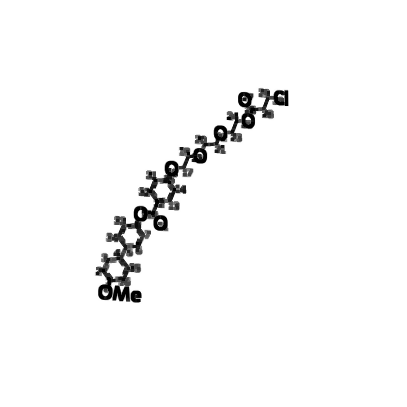 COc1ccc(-c2ccc(OC(=O)c3ccc(OCCOCCOCCOC(=O)CCCl)cc3)cc2)cc1